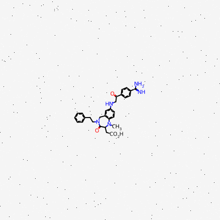 CN1c2ccc(NCC(=O)c3ccc(C(=N)N)cc3)cc2CN(CCc2ccccc2)C(=O)C1CC(=O)O